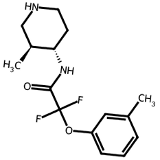 Cc1cccc(OC(F)(F)C(=O)N[C@H]2CCNC[C@@H]2C)c1